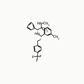 C=C(NC)[C@H](N[C@@H](CCc1ccc(C(F)(F)F)cc1)c1cccc(C)c1)c1ccccc1